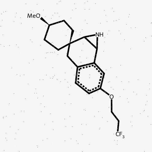 CO[C@H]1CC[C@]2(CC1)Cc1ccc(OCCC(F)(F)F)cc1C1NC12